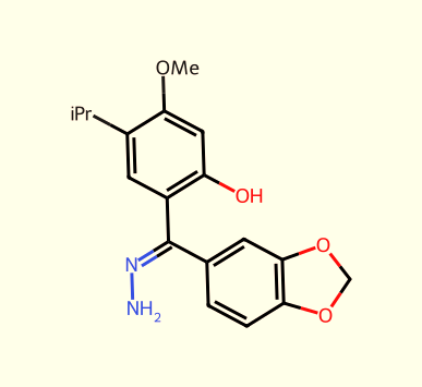 COc1cc(O)c(/C(=N/N)c2ccc3c(c2)OCO3)cc1C(C)C